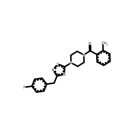 Cc1ccccc1C(=O)N1CCN(c2nc(Cc3ccc(F)cc3)ns2)CC1